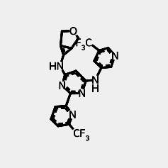 FC(F)(F)c1cncc(Nc2cc(NC3=C4COCC43)nc(-c3cccc(C(F)(F)F)n3)n2)c1